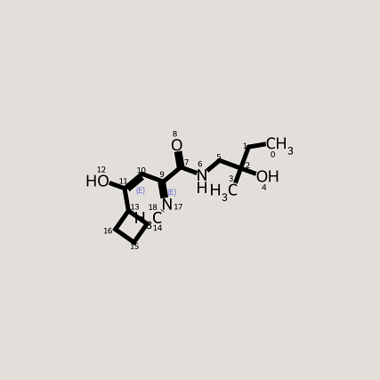 CCC(C)(O)CNC(=O)C(/C=C(/O)C1CCC1)=N/C